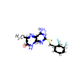 Cc1nc2c(N)nc(SCc3cccc(F)c3F)nc2[nH]c1=O